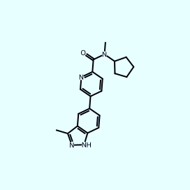 Cc1n[nH]c2ccc(-c3ccc(C(=O)N(C)C4CCCC4)nc3)cc12